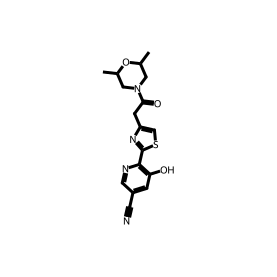 CC1CN(C(=O)Cc2csc(-c3ncc(C#N)cc3O)n2)CC(C)O1